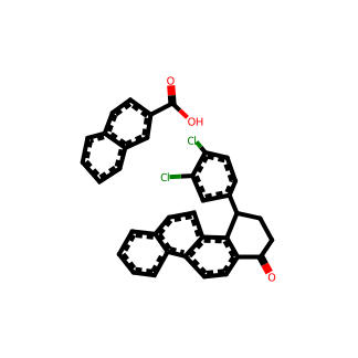 O=C(O)c1ccc2ccccc2c1.O=C1CCC(c2ccc(Cl)c(Cl)c2)c2c1ccc1c2ccc2ccccc21